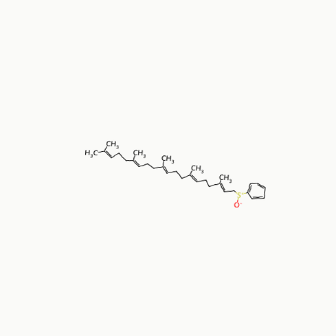 CC(C)=CCC/C(C)=C/CC/C(C)=C/CC/C(C)=C/CC/C(C)=C/C[S+]([O-])c1ccccc1